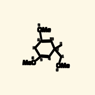 COCC1(C)C=C(OC)CC(OC)=C1